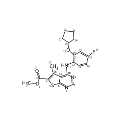 COC(=O)c1sc2ncnc(Nc3ccc(F)cc3OC3CCCC3)c2c1C